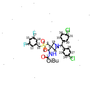 CC(C)COC(=O)NCC1(CS(=O)(=O)Cc2cc(F)cc(F)c2)CN(C(c2ccc(Cl)cc2)c2ccc(Cl)cc2)C1